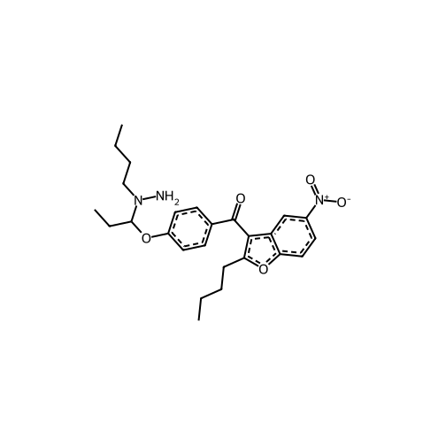 CCCCc1oc2ccc([N+](=O)[O-])cc2c1C(=O)c1ccc(OC(CC)N(N)CCCC)cc1